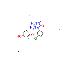 CC1=C(OCc2c(Cl)cccc2N(N)C(=O)N(C)N)C=CCC(O)=C1